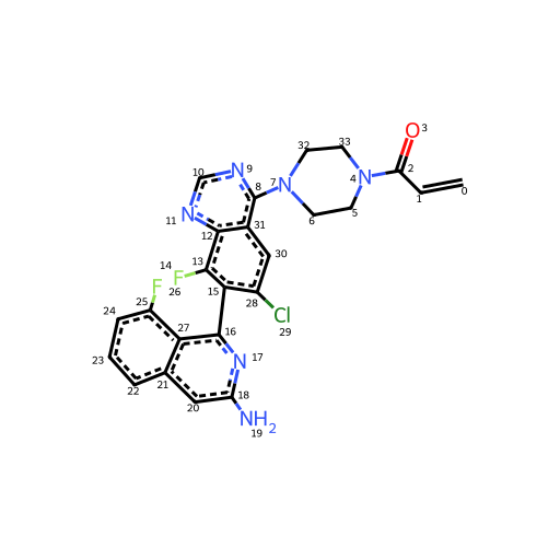 C=CC(=O)N1CCN(c2ncnc3c(F)c(-c4nc(N)cc5cccc(F)c45)c(Cl)cc23)CC1